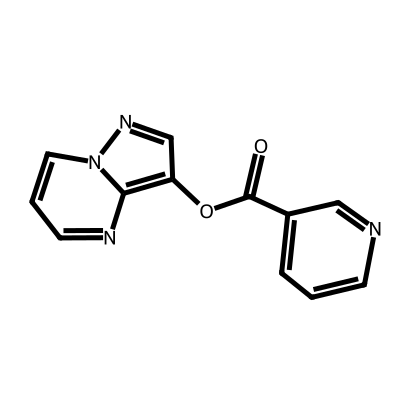 O=C(Oc1cnn2cccnc12)c1cccnc1